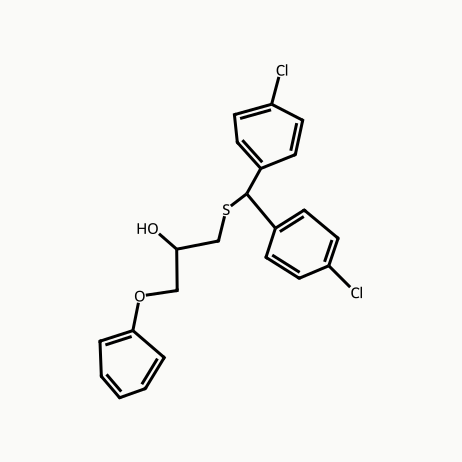 OC(COc1ccccc1)CSC(c1ccc(Cl)cc1)c1ccc(Cl)cc1